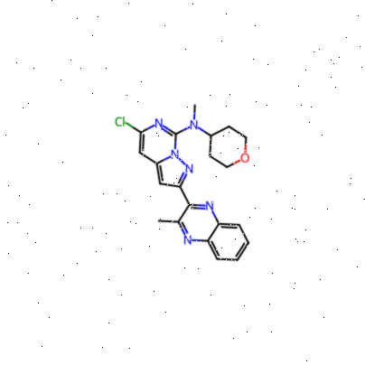 Cc1nc2ccccc2nc1-c1cc2cc(Cl)nc(N(C)C3CCOCC3)n2n1